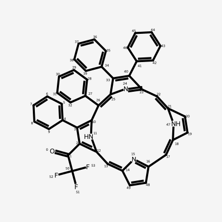 O=C(c1c(-c2ccccc2)c2[nH]c1cc1nc(cc3ccc(cc4nc(c2-c2ccccc2)C(c2ccccc2)=C4c2ccccc2)[nH]3)C=C1)C(F)(F)F